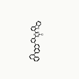 Clc1nc(-c2cccc(-c3ccc4ccc(-c5cccc6ccccc56)cc4c3)c2)nc(-c2cccc3c2sc2ccccc23)n1